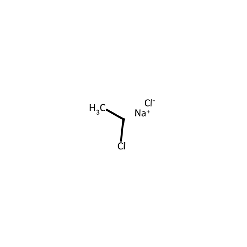 CCCl.[Cl-].[Na+]